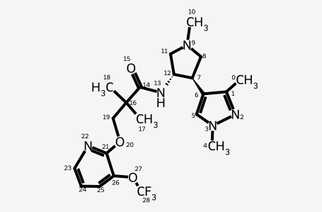 Cc1nn(C)cc1[C@@H]1CN(C)C[C@H]1NC(=O)C(C)(C)COc1ncccc1OC(F)(F)F